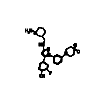 N#Cc1ccc(-c2cc(NCC3CCC[C@H](N)C3)nn2-c2cccc(N3CCS(=O)(=O)CC3)c2)cc1F